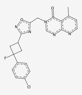 Cc1ccnc2ncn(Cc3nc(C4CC(F)(c5ccc(Cl)cc5)C4)no3)c(=O)c12